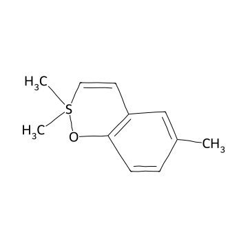 Cc1ccc2c(c1)C=CS(C)(C)O2